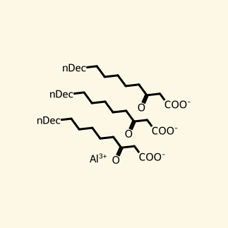 CCCCCCCCCCCCCCCC(=O)CC(=O)[O-].CCCCCCCCCCCCCCCC(=O)CC(=O)[O-].CCCCCCCCCCCCCCCC(=O)CC(=O)[O-].[Al+3]